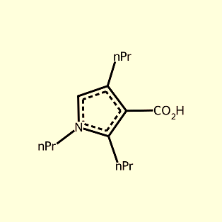 CCCc1cn(CCC)c(CCC)c1C(=O)O